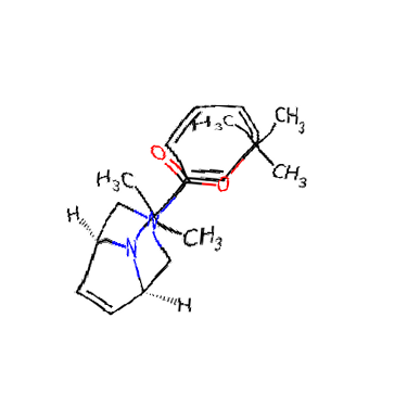 CC(C)(C)OC(=O)N1C[C@H]2C=C[C@@H](C1)N2C(C)(C)c1ccccc1